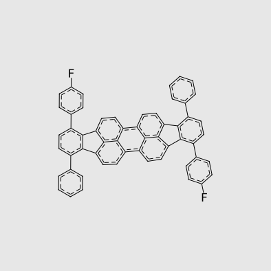 Fc1ccc(-c2ccc(-c3ccccc3)c3c2-c2ccc4c5ccc6c7c(ccc(c8ccc-3c2c84)c75)-c2c(-c3ccc(F)cc3)ccc(-c3ccccc3)c2-6)cc1